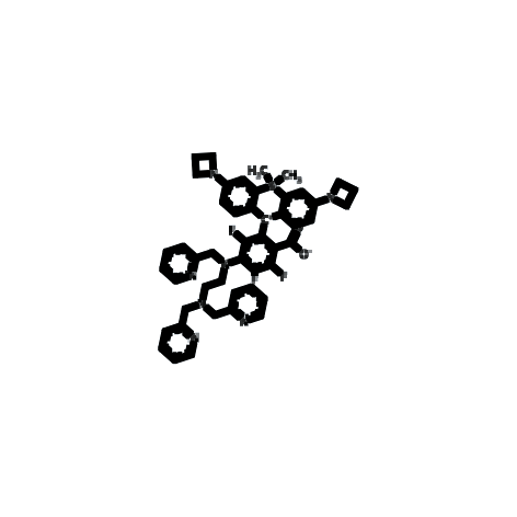 C[Si]1(C)c2cc(N3CCC3)ccc2[C+](c2c(F)c(N(CCN(Cc3ccccn3)Cc3ccccn3)Cc3ccccn3)c(F)c(F)c2C(=O)[O-])c2ccc(N3CCC3)cc21